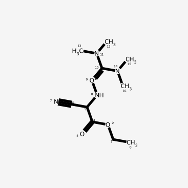 CCOC(=O)C(C#N)N[O+]=C(N(C)C)N(C)C